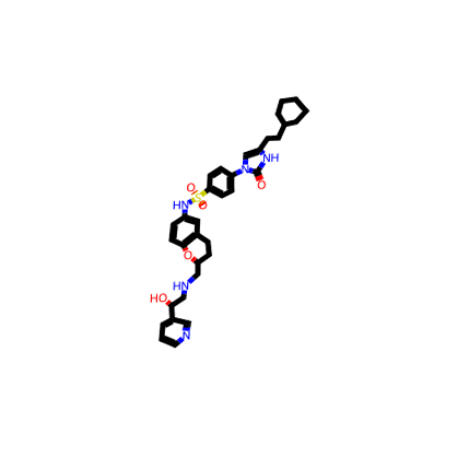 O=c1[nH]c(CCC2CCCCC2)cn1-c1ccc(S(=O)(=O)Nc2ccc3c(c2)CCC(CNCC(O)c2cccnc2)O3)cc1